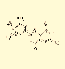 Cc1cc(-c2cc(=O)c3cc(Br)cc(Br)c3o2)cc(C)c1O